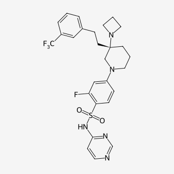 O=S(=O)(Nc1ccncn1)c1ccc(N2CCC[C@@](CCc3cccc(C(F)(F)F)c3)(N3CCC3)C2)cc1F